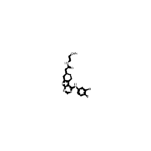 COCCNC(=O)CC1CCc2c(sc3ncnc(Nc4ccc(F)c(Cl)c4)c23)C1